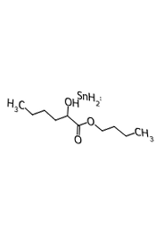 CCCCOC(=O)C(O)CCCC.[SnH2]